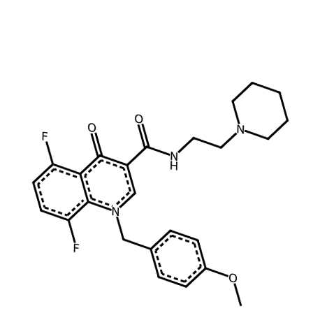 COc1ccc(Cn2cc(C(=O)NCCN3CCCCC3)c(=O)c3c(F)ccc(F)c32)cc1